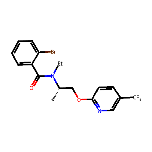 CCN(C(=O)c1ccccc1Br)[C@@H](C)COc1ccc(C(F)(F)F)cn1